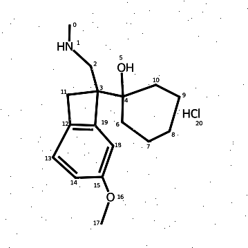 CNCC1(C2(O)CCCCC2)Cc2ccc(OC)cc21.Cl